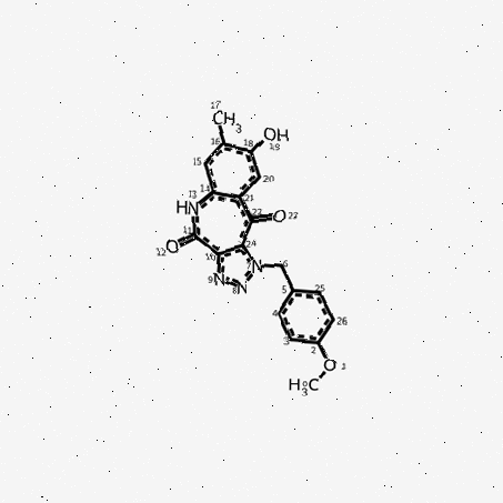 COc1ccc(Cn2nnc3c(=O)[nH]c4cc(C)c(O)cc4c(=O)c32)cc1